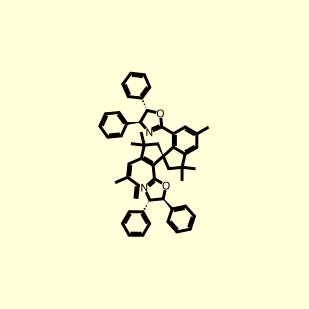 C=C/C(C)=C\C1=C(C2=N[C@@H](c3ccccc3)[C@H](c3ccccc3)O2)[C@@]2(CC1(C)C)CC(C)(C)c1cc(C)cc(C3=N[C@@H](c4ccccc4)[C@H](c4ccccc4)O3)c12